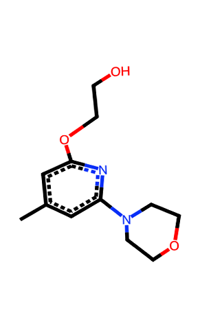 Cc1cc(OCCO)nc(N2CCOCC2)c1